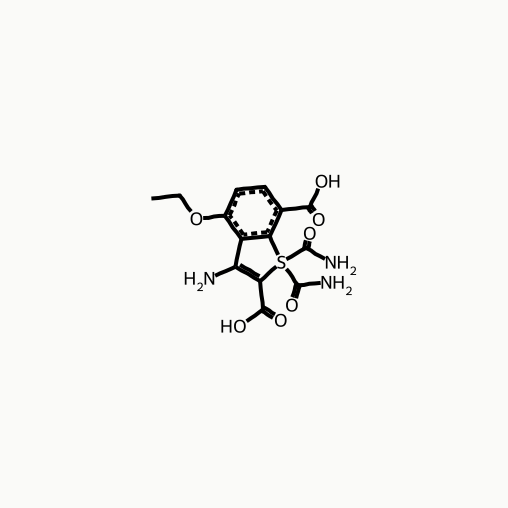 CCOc1ccc(C(=O)O)c2c1C(N)=C(C(=O)O)S2(C(N)=O)C(N)=O